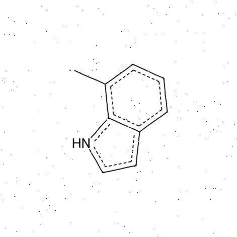 [CH2]c1cccc2cc[nH]c12